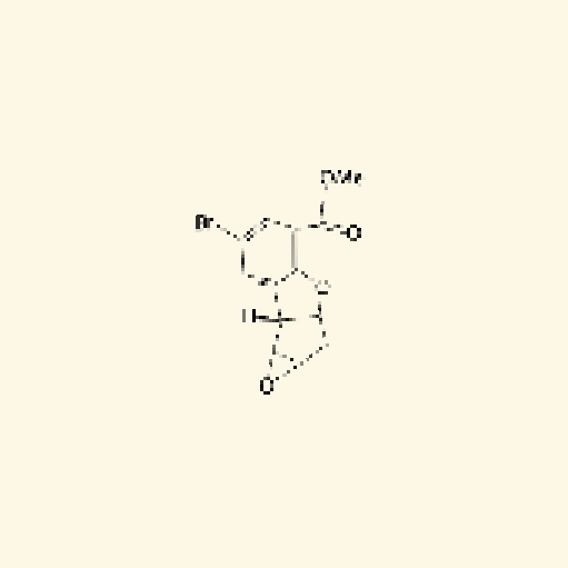 COC(=O)c1cc(Br)cc2c1OC1CC3OC3[C@H]21